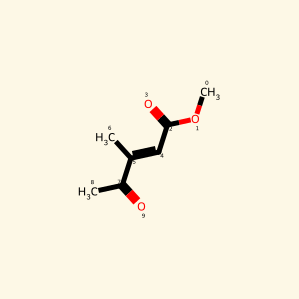 COC(=O)/C=C(\C)C(C)=O